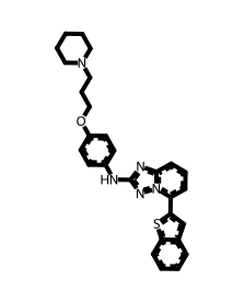 c1ccc2sc(-c3cccc4nc(Nc5ccc(OCCCN6CCCCC6)cc5)nn34)cc2c1